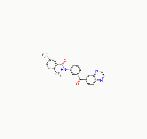 O=C(c1cccc(NC(=O)c2cc(C(F)(F)F)ccc2C(F)(F)F)c1)c1ccc2nccnc2c1